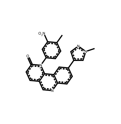 Cc1ccc(-n2c(=O)ccc3cnc4ccc(-c5cnn(C)c5)cc4c32)cc1[N+](=O)[O-]